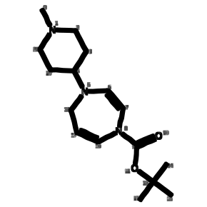 CN1CCC(N2C=CN(C(=O)OC(C)(C)C)C=CC2)CC1